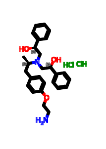 C[C@H](Cc1ccc(OCCN)cc1)N(C[C@@H](O)c1ccccc1)C[C@@H](O)c1ccccc1.Cl.Cl